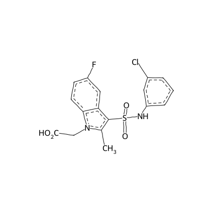 Cc1c(S(=O)(=O)Nc2cccc(Cl)c2)c2cc(F)ccc2n1CC(=O)O